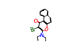 CCN(CC)c1oc2ccc3ccccc3c2c(=O)c1Br